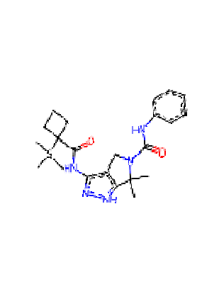 CC1(C)c2[nH]nc(NC(=O)C3([Si](C)(C)C)CCC3)c2CN1C(=O)Nc1ccccc1